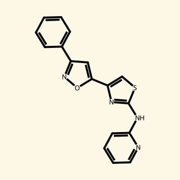 c1ccc(-c2cc(-c3csc(Nc4ccccn4)n3)on2)cc1